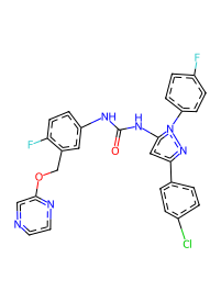 O=C(Nc1ccc(F)c(COc2cnccn2)c1)Nc1cc(-c2ccc(Cl)cc2)nn1-c1ccc(F)cc1